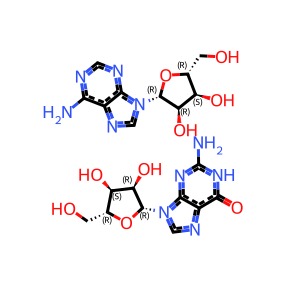 Nc1nc2c(ncn2[C@@H]2O[C@H](CO)[C@@H](O)[C@H]2O)c(=O)[nH]1.Nc1ncnc2c1ncn2[C@@H]1O[C@H](CO)[C@@H](O)[C@H]1O